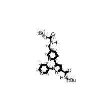 CC(C)(C)NC(=O)c1cc(-c2ccc(CNC(=O)OC(C)(C)C)cn2)n(-c2cccnc2)n1